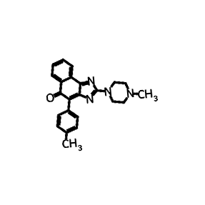 Cc1ccc(C2=C3N=C(N4CCN(C)CC4)N=C3c3ccccc3C2=O)cc1